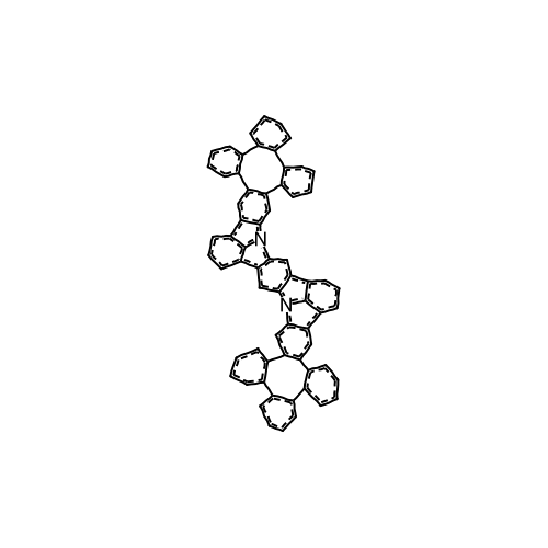 c1ccc2c(c1)-c1ccccc1-c1cc3c4cccc5c6cc7c(cc6n(c3cc1-c1ccccc1-2)c45)c1cccc2c3cc4c(cc3n7c21)-c1ccccc1-c1ccccc1-c1ccccc1-4